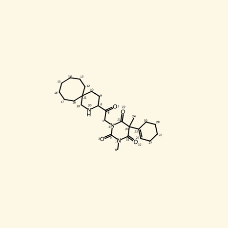 CN1C(=O)N(CC(=O)C2CCC3(CCCCCCC3)CN2)C(=O)C(C)(C2=CCCCC2)C1=O